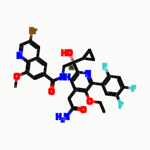 CCOc1c(CC(N)=O)cc([C@@](O)(CNC(=O)c2cc(OC)c3ncc(Br)cc3c2)C2CC2)nc1-c1cc(F)c(F)cc1F